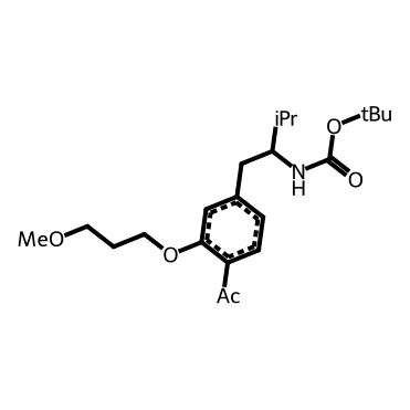 COCCCOc1cc(CC(NC(=O)OC(C)(C)C)C(C)C)ccc1C(C)=O